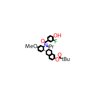 COC1=CC(N(C(=O)c2ccc(O)c(F)c2)C(C)C)C([C@@H]2CCc3cc(OC(=O)C(C)(C)C)ccc3C2)C=C1